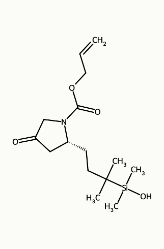 C=CCOC(=O)N1CC(=O)C[C@H]1CCC(C)(C)[Si](C)(C)O